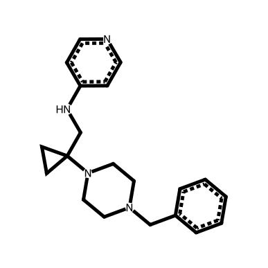 c1ccc(CN2CCN(C3(CNc4ccncc4)CC3)CC2)cc1